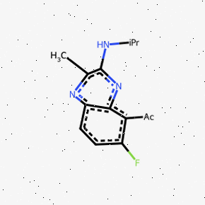 CC(=O)c1c(F)ccc2nc(C)c(NC(C)C)nc12